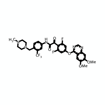 COc1cc2ncnc(Oc3cc(F)c(C(=O)C(=O)Nc4ccc(CN5CCN(C)CC5)c(C(F)(F)F)c4)c(F)c3)c2cc1OC